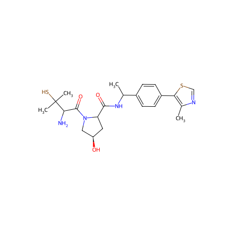 Cc1ncsc1-c1ccc(C(C)NC(=O)C2C[C@@H](O)CN2C(=O)C(N)C(C)(C)S)cc1